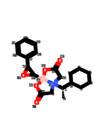 C[C@@H](C1CCCCC1)[N+]12CC(=O)O[B-]1(C1OC1c1ccccc1)OC(=O)C2